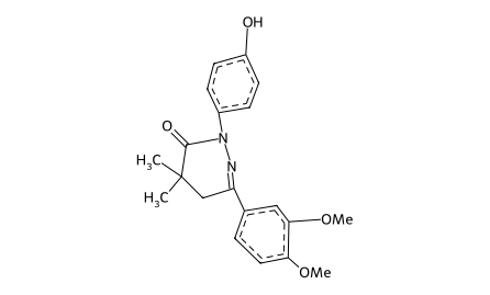 COc1ccc(C2=NN(c3ccc(O)cc3)C(=O)C(C)(C)C2)cc1OC